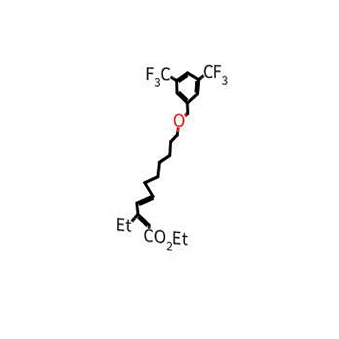 CCOC(=O)C=C(C=CCCCCCCOCc1cc(C(F)(F)F)cc(C(F)(F)F)c1)CC